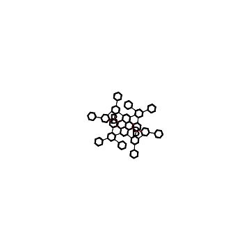 c1ccc(-c2ccc3c(c2)-c2cc(-c4ccccc4)cc4c2B3c2cc3c(-c5c(-c6ccccc6)cc(-c6ccccc6)cc5-c5ccccc5)cc5c6c(cc7c(-c8c(-c9ccccc9)cc(-c9ccccc9)cc8-c8ccccc8)cc-4c2c7c36)B2c3ccc(-c4ccccc4)cc3-c3cc(-c4ccccc4)cc-5c32)cc1